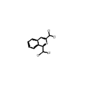 ClC(Cl)c1cc2ccccc2c(C(Cl)Cl)n1